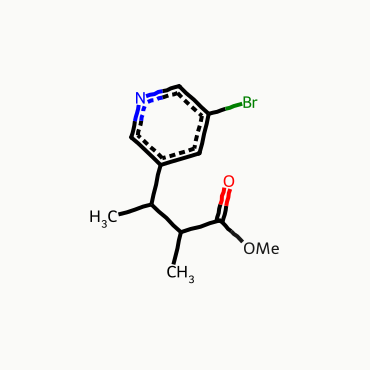 COC(=O)C(C)C(C)c1cncc(Br)c1